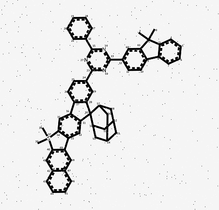 CC1(C)c2ccccc2-c2ccc(-c3nc(-c4ccccc4)nc(-c4ccc5c(c4)C4(c6cc7c(cc6-5)S(C)(C)c5cc6ccccc6cc5-7)C5CC6CC(C5)CC4C6)n3)cc21